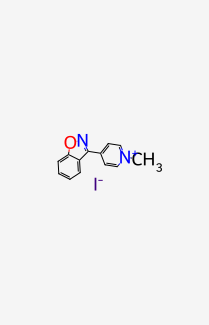 C[n+]1ccc(-c2noc3ccccc23)cc1.[I-]